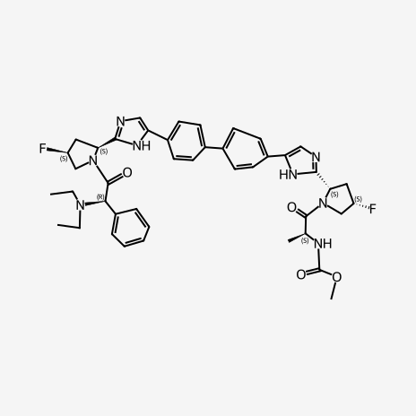 CCN(CC)[C@@H](C(=O)N1C[C@@H](F)C[C@H]1c1ncc(-c2ccc(-c3ccc(-c4cnc([C@@H]5C[C@H](F)CN5C(=O)[C@H](C)NC(=O)OC)[nH]4)cc3)cc2)[nH]1)c1ccccc1